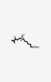 C=C(C)C(=O)CC[N+](C)(C)CCCCCCCCCCCCCCCC.[Cl-]